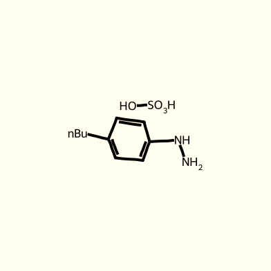 CCCCc1ccc(NN)cc1.O=S(=O)(O)O